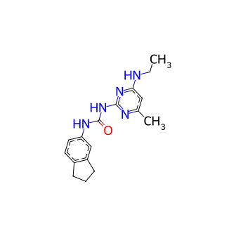 CCNc1cc(C)nc(NC(=O)Nc2ccc3c(c2)CCC3)n1